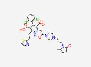 CC1CCC(=O)N1CCCN1CCN(C(=O)CC2=C(C(=O)O)C(c3c(Cl)cccc3Cl)C(C(=O)O)=C(CCc3nccs3)N2)CC1